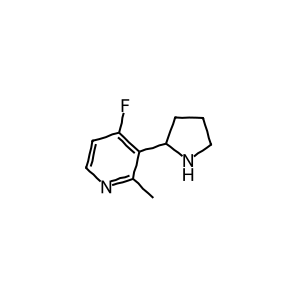 Cc1nccc(F)c1C1CCCN1